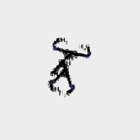 CCCCC/C=C\C/C=C\CCCCCCCC(=O)OCCN(CCOC(=O)CCCCCCC/C=C\C/C=C\CCCCC)C(=O)CCC(=O)NCCCC(NC(=O)CCC(=O)N(CCOC(=O)CCCCCCC/C=C\C/C=C\CCCCC)CCOC(=O)CCCCCCC/C=C\C/C=C\CCCCC)C(=O)NCCCOCCOCCC